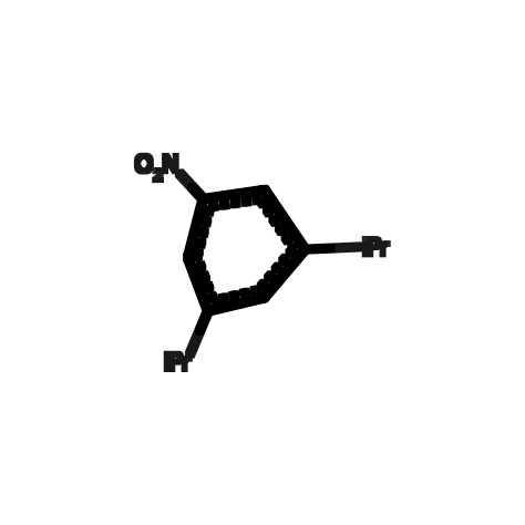 CC(C)c1cc(C(C)C)cc([N+](=O)[O-])c1